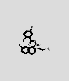 CC(=O)N1N=C(c2cc(F)ccc2F)S[C@]12c1cc(F)ccc1CC[C@H]2CCN